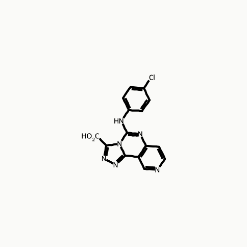 O=C(O)c1nnc2c3cnccc3nc(Nc3ccc(Cl)cc3)n12